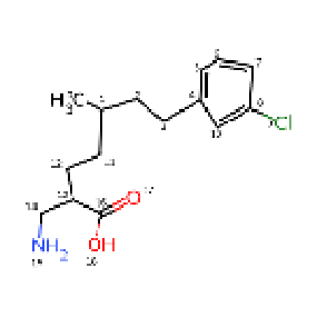 CC(CCc1cccc(Cl)c1)CCC(CN)C(=O)O